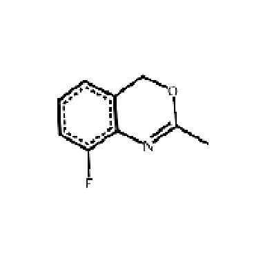 CC1=Nc2c(F)cccc2CO1